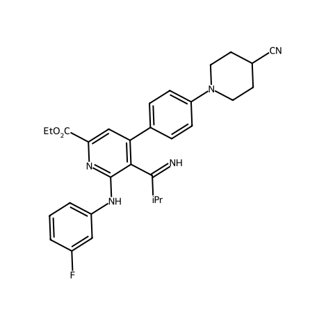 CCOC(=O)c1cc(-c2ccc(N3CCC(C#N)CC3)cc2)c(C(=N)C(C)C)c(Nc2cccc(F)c2)n1